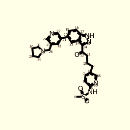 CS(=O)(=O)Nc1ccc(CCCC(=O)c2n[nH]c3ccc(-c4cncc(CN5CCCC5)c4)cc23)cn1